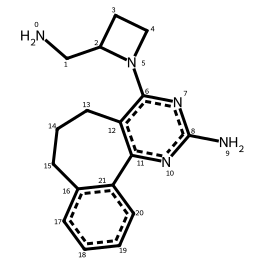 NCC1CCN1c1nc(N)nc2c1CCCc1ccccc1-2